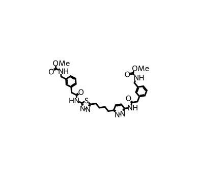 COC(=O)NCc1cccc(CC(=O)Nc2ccc(CCCCc3nnc(NC(=O)Cc4cccc(CNC(=O)OC)c4)s3)nn2)c1